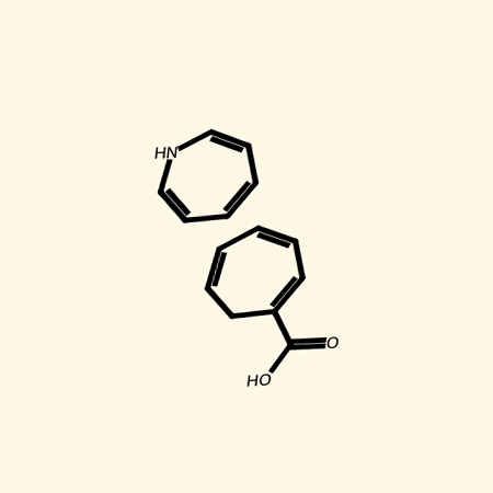 C1=CC=CNC=C1.O=C(O)C1=CC=CC=CC1